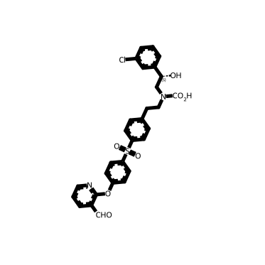 O=Cc1cccnc1Oc1ccc(S(=O)(=O)c2ccc(CCN(C[C@@H](O)c3cccc(Cl)c3)C(=O)O)cc2)cc1